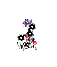 C[Si](C)(C)CCN1C(=O)CN(c2ccc(Cc3ccccc3NS(N)(=O)=O)cc2OCc2ccccc2)S1(=O)=O